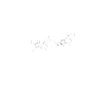 CCc1[nH]c(C(=O)NC2CCN(c3nc4cccc(C(=O)O)c4s3)CC2OC(C)C)nc1Cl